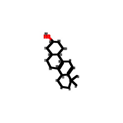 CC1(C)CCCC2C1=CCC1=C2CCC2CC(O)CCC12